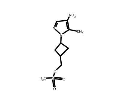 Cc1c([N+](=O)[O-])cnn1C1CC(COS(C)(=O)=O)C1